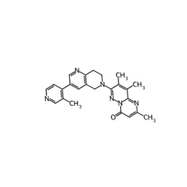 Cc1cc(=O)n2nc(N3CCc4ncc(-c5ccncc5C)cc4C3)c(C)c(C)c2n1